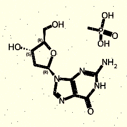 CP(=O)(O)O.Nc1nc2c(ncn2[C@H]2C[C@H](O)[C@@H](CO)O2)c(=O)[nH]1